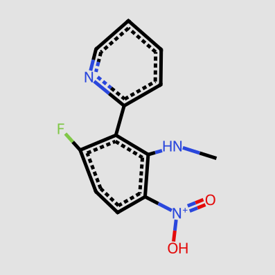 CNc1c([N+](=O)O)ccc(F)c1-c1ccccn1